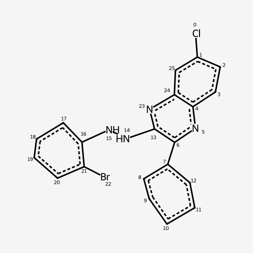 Clc1ccc2nc(-c3ccccc3)c(NNc3ccccc3Br)nc2c1